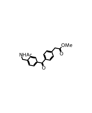 COC(=O)Cc1ccc(C(=O)c2ccc(CNC(C)=O)cc2)cc1